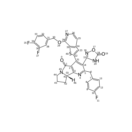 O=C1c2c(nc(Cc3ccc(F)cc3)c(-c3noc(=O)[nH]3)c2-c2cc3ccnc(OCc4ccc(F)c(F)c4)c3s2)[C@@H]2CCCN12